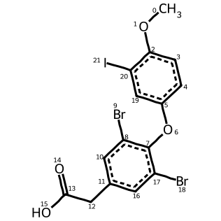 COc1ccc(Oc2c(Br)cc(CC(=O)O)cc2Br)cc1I